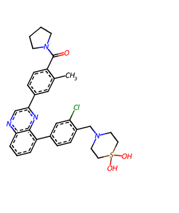 Cc1cc(-c2cnc3cccc(-c4ccc(CN5CCS(O)(O)CC5)c(Cl)c4)c3n2)ccc1C(=O)N1CCCC1